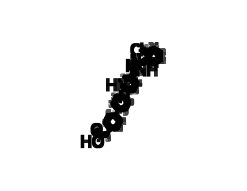 O=C(O)C[C@H]1CC[C@@H](C2CCN(C3=CC=C(c4nnc(-c5ccccc5Cl)[nH]4)CN3)CC2)CC1